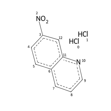 Cl.Cl.O=[N+]([O-])c1ccc2cccnc2c1